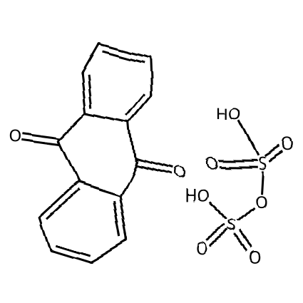 O=C1c2ccccc2C(=O)c2ccccc21.O=S(=O)(O)OS(=O)(=O)O